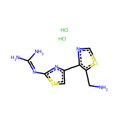 Cl.Cl.NCc1scnc1-c1csc(N=C(N)N)n1